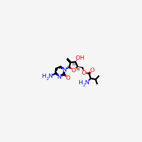 C=C1[C@H](n2ccc(N)nc2=O)O[C@H](COC(=O)C(N)C(C)C)[C@H]1O